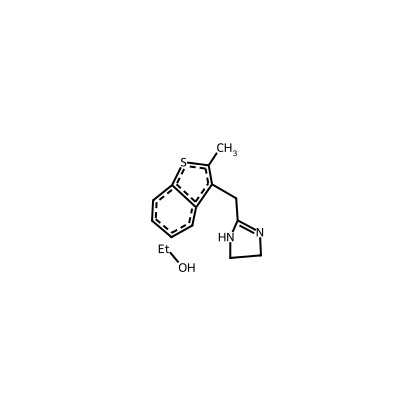 CCO.Cc1sc2ccccc2c1CC1=NCCN1